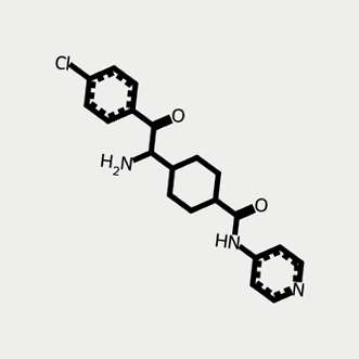 NC(C(=O)c1ccc(Cl)cc1)C1CCC(C(=O)Nc2ccncc2)CC1